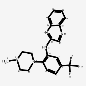 CN1CCN(c2ccc(C(F)(F)F)cc2Nc2cnc3ccccc3n2)CC1